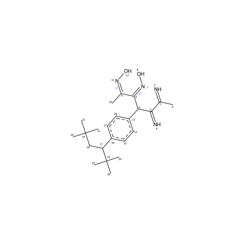 CC(=N)C(=N)C(C(=N/O)/C(C)=N\O)c1ccc(C(CC(C)(C)C)C(C)(C)C)cc1